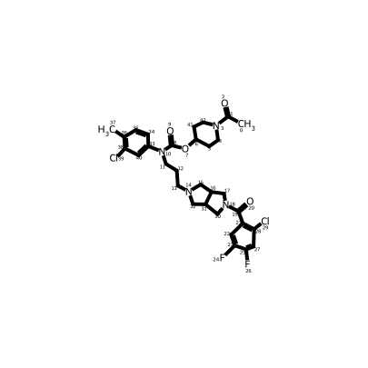 CC(=O)N1CCC(OC(=O)N(CCCN2CC3CN(C(=O)c4cc(F)c(F)cc4Cl)CC3C2)c2ccc(C)c(Cl)c2)CC1